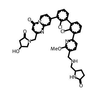 COc1nc(-c2cccc(-c3cccc(-c4ccn5c(=O)cc(CN6CC(O)CC6=O)nc5c4)c3Cl)c2Cl)ccc1CNCC1CCC(=O)N1